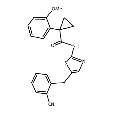 COc1ccccc1C1(C(=O)Nc2ncc(Cc3ccccc3C#N)s2)CC1